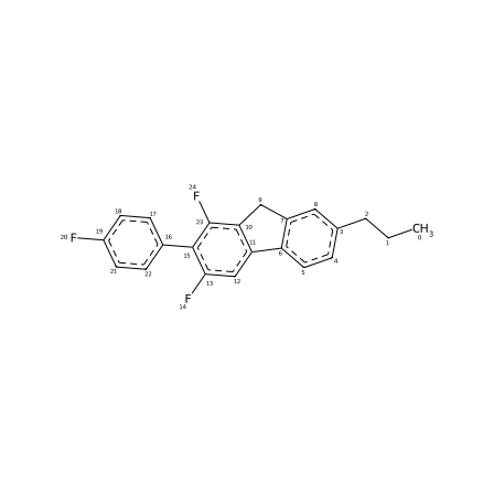 CCCc1ccc2c(c1)Cc1c-2cc(F)c(-c2ccc(F)cc2)c1F